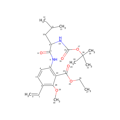 C=Cc1ccc(NC(=O)C(CC(C)C)NC(=O)OC(C)(C)C)c(C(=O)OCC)c1OC